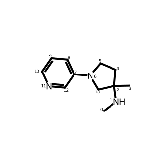 CNC1(C)CCN(c2cccnc2)C1